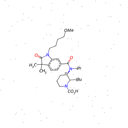 COCCCCN1C(=O)C(C)(C)c2ccc(C(=O)N(C(C)C)[C@@H]3CCCN(C(=O)O)C3C(C)(C)C)cc21